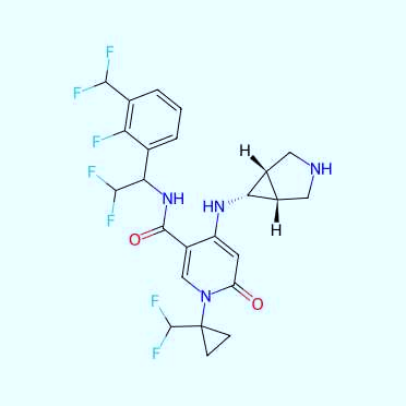 O=C(NC(c1cccc(C(F)F)c1F)C(F)F)c1cn(C2(C(F)F)CC2)c(=O)cc1N[C@@H]1[C@@H]2CNC[C@@H]21